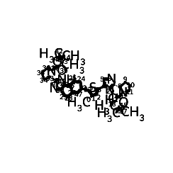 Cc1cc(-c2cnc([C@@H]3CCCN3C(=O)OC(C)(C)C)[nH]2)sc1-c1ccc2c(ccc3nc([C@@H]4CCCN4C(=O)OC(C)(C)C)[nH]c32)c1